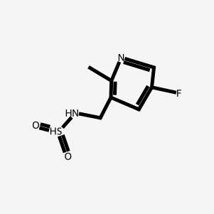 Cc1ncc(F)cc1CN[SH](=O)=O